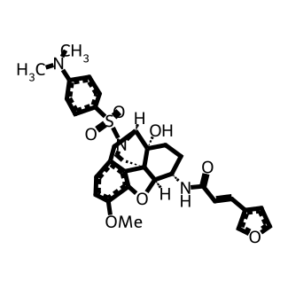 COc1ccc2c3c1O[C@@H]1[C@@H](NC(=O)/C=C/c4ccoc4)CC[C@]4(O)[C@H](C2)N(S(=O)(=O)c2ccc(N(C)C)cc2)CC[C@@]314